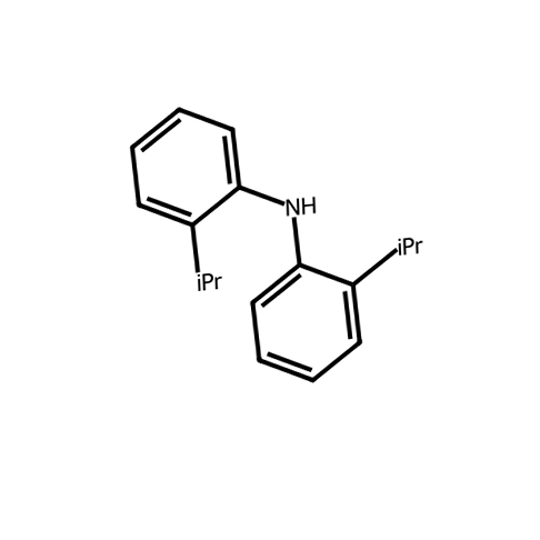 CC(C)c1ccccc1Nc1ccccc1C(C)C